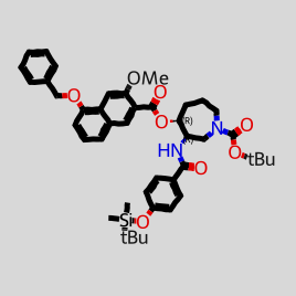 COc1cc2c(OCc3ccccc3)cccc2cc1C(=O)O[C@@H]1CCCN(C(=O)OC(C)(C)C)C[C@H]1NC(=O)c1ccc(O[Si](C)(C)C(C)(C)C)cc1